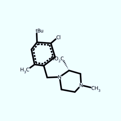 Cc1cc(C(C)(C)C)c(Cl)cc1CN1CCN(C)C[C@H]1C(=O)O